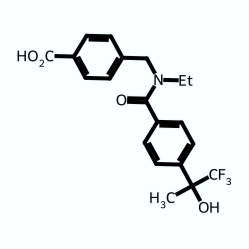 CCN(Cc1ccc(C(=O)O)cc1)C(=O)c1ccc(C(C)(O)C(F)(F)F)cc1